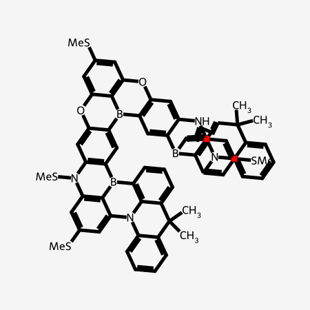 CSc1cc2c3c(c1)Oc1cc4c(cc1B3c1cc3c(cc1O2)Nc1cc(SC)cc2c1B3c1cccc3c1N2c1ccccc1C3(C)C)B1c2cccc3c2N(c2ccccc2C3(C)C)c2cc(SC)cc(c21)N4SC